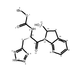 CC(C)(C)OC(=O)N[C@@H](Cc1nn[nH]n1)C(=O)N1c2ncccc2CC1C(=O)O